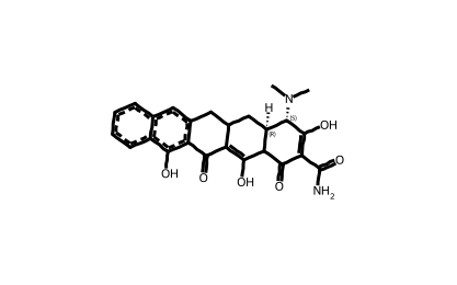 CN(C)[C@@H]1C(O)=C(C(N)=O)C(=O)C2C(O)=C3C(=O)c4c(cc5ccccc5c4O)CC3C[C@H]21